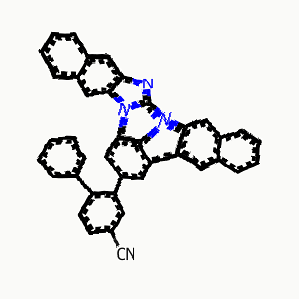 N#Cc1ccc(-c2ccccc2)c(-c2cc3c4cc5ccccc5cc4n4c3c(c2)n2c3cc5ccccc5cc3nc24)c1